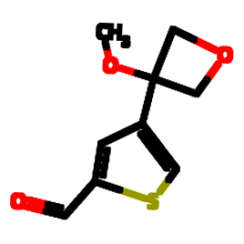 COC1(c2csc(C=O)c2)COC1